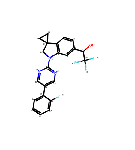 OC(c1ccc2c(c1)N(c1ncc(-c3ccccc3F)cn1)CC21CC1)C(F)(F)F